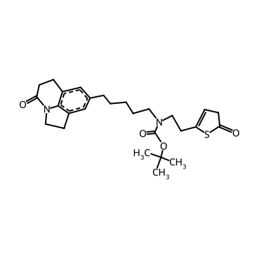 CC(C)(C)OC(=O)N(CCCCCc1cc2c3c(c1)CCN3C(=O)CC2)CCC1=CCC(=O)S1